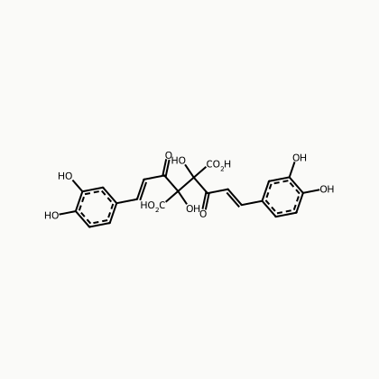 O=C(O)C(O)(C(=O)/C=C/c1ccc(O)c(O)c1)C(O)(C(=O)O)C(=O)/C=C/c1ccc(O)c(O)c1